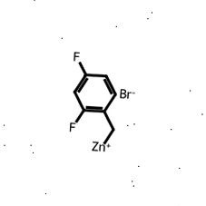 Fc1ccc([CH2][Zn+])c(F)c1.[Br-]